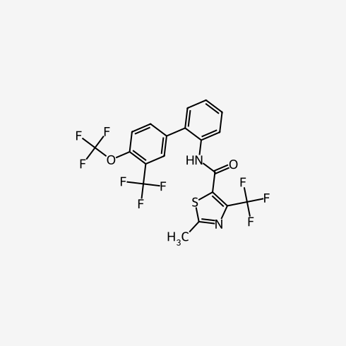 Cc1nc(C(F)(F)F)c(C(=O)Nc2ccccc2-c2ccc(OC(F)(F)F)c(C(F)(F)F)c2)s1